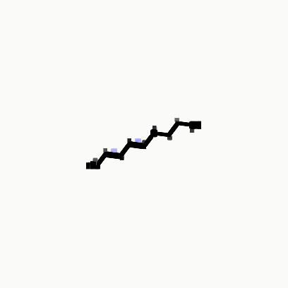 CCCC/C=C/C=C/OCCO